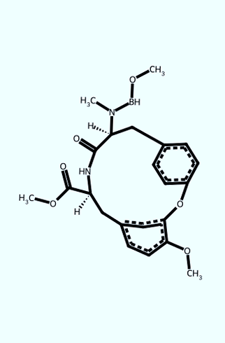 COBN(C)[C@H]1Cc2ccc(cc2)Oc2cc(ccc2OC)C[C@@H](C(=O)OC)NC1=O